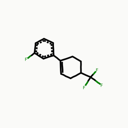 Fc1cccc(C2=CCC(C(F)(F)F)CC2)c1